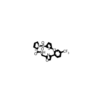 O=C(NCc1nc(-c2ccc(C(F)(F)F)cc2)co1)[C@@H]1C=CCN1S(=O)(=O)c1ccc(Cl)s1